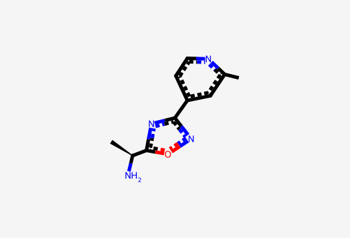 Cc1cc(-c2noc([C@H](C)N)n2)ccn1